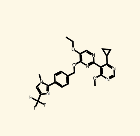 CCOc1cnc(-c2c(OC)ncnc2C2CC2)nc1OCc1ccc(-c2nc(C(F)(F)F)cn2C)cc1